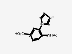 CC(=O)Nc1ccc(C(=O)O)cc1-n1ccnc1